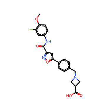 COc1ccc(NC(=O)c2cc(-c3ccc(CN4CC(C(=O)O)C4)cc3)on2)cc1F